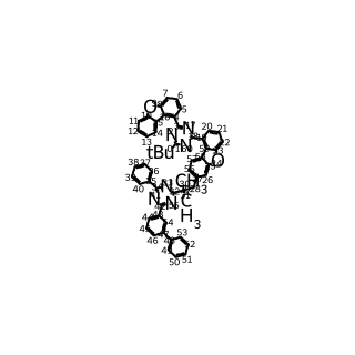 CC(C)(C)c1nc(-c2cccc3oc4ccccc4c23)nc(-c2cccc3oc4cc(CC(C)(C)c5nc(-c6ccccc6)nc(-c6cccc(-c7ccccc7)c6)n5)ccc4c23)n1